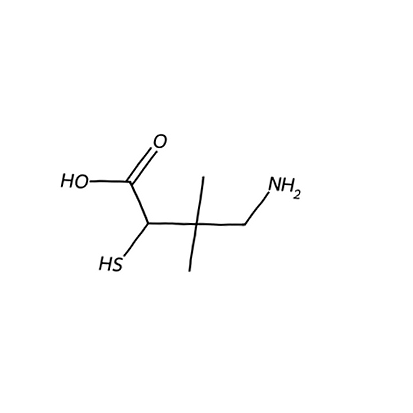 CC(C)(CN)C(S)C(=O)O